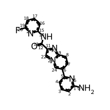 Nc1cccc(-c2ccc3nc(C(=O)Nc4cccc(F)n4)cn3c2)n1